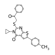 Cc1ccc(-c2cc3c(=O)n(C4CC4)c(SCC(=O)c4ccccc4)nc3s2)cc1